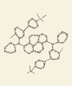 Cc1ccc(-c2ccc([Si](C)(C)C)cc2)cc1N(c1ccccc1)c1ccc2ccc3c(N(c4ccccc4)c4cc(-c5ccc([Si](C)(C)C)cc5)ccc4C)ccc4ccc1c2c43